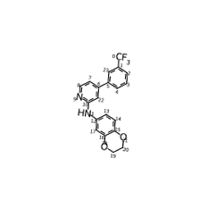 FC(F)(F)c1cccc(-c2ccnc(Nc3ccc4c(c3)OCCO4)c2)c1